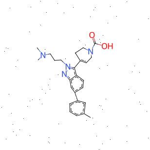 Cc1cccc(-c2ccc3c(C4=CCN(C(=O)O)CC4)n(CCCN(C)C)nc3c2)c1